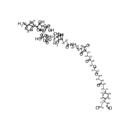 CC(C)(COP(=O)(O)OP(=O)(O)OC[C@H]1O[C@@H](n2cnc3c(N)ncnc32)[C@@H](O)C1OP(=O)(O)O)[C@@H](O)C(=O)NCCC(=O)NCCSC1CC(=O)N(CCCC(=O)CCOCCOCCCC(=O)CCCc2ccc(C(CCCl)CCCl)cc2)C1=O